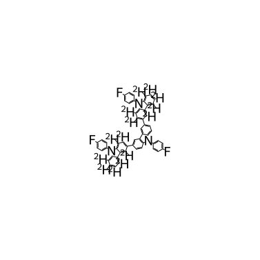 [2H]c1c([2H])c([2H])c2c(c1[2H])c1c([2H])c(-c3ccc4c(c3)c3cc(-c5c([2H])c([2H])c6c(c5[2H])c5c([2H])c([2H])c([2H])c([2H])c5n6-c5ccc(F)cc5)ccc3n4-c3ccc(F)cc3)c([2H])c([2H])c1n2-c1ccc(F)cc1